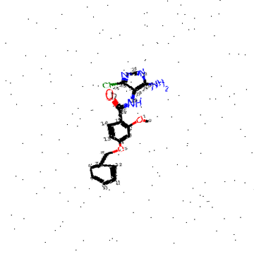 COc1cc(OCc2ccccc2)ccc1C(=O)Nc1c(N)ncnc1Cl